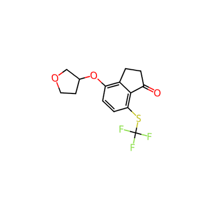 O=C1CCc2c(OC3CCOC3)ccc(SC(F)(F)F)c21